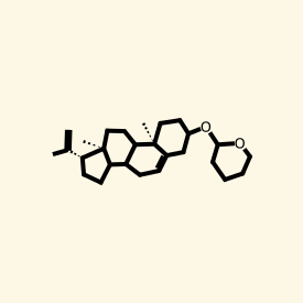 C=C(C)[C@H]1CCC2C3CC=C4CC(OC5CCCCO5)CC[C@]4(C)C3CC[C@@]21C